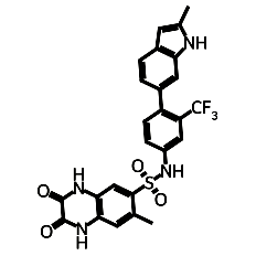 Cc1cc2ccc(-c3ccc(NS(=O)(=O)c4cc5[nH]c(=O)c(=O)[nH]c5cc4C)cc3C(F)(F)F)cc2[nH]1